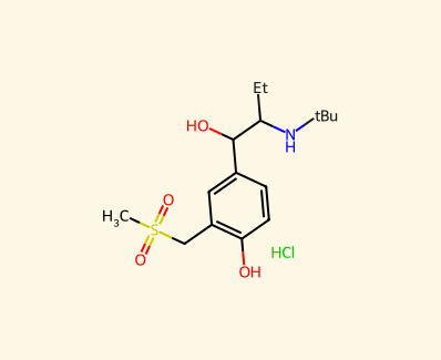 CCC(NC(C)(C)C)C(O)c1ccc(O)c(CS(C)(=O)=O)c1.Cl